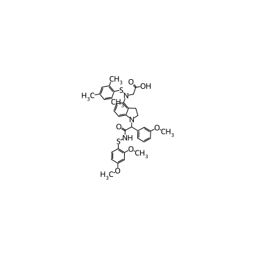 COc1cccc(C(C(=O)NSc2ccc(OC)cc2OC)N2CCc3c(N(CC(=O)O)Sc4c(C)cc(C)cc4C)cccc32)c1